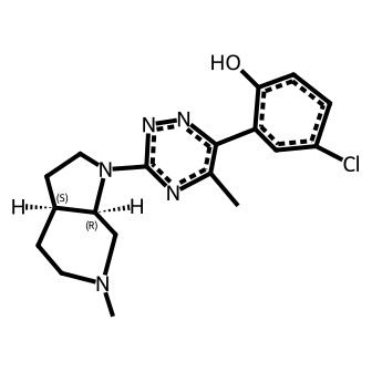 Cc1nc(N2CC[C@@H]3CCN(C)C[C@@H]32)nnc1-c1cc(Cl)ccc1O